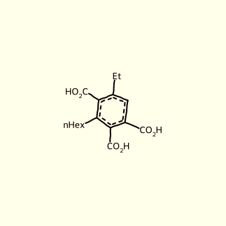 CCCCCCc1c(C(=O)O)c(CC)cc(C(=O)O)c1C(=O)O